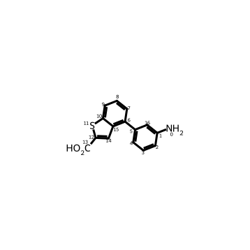 Nc1cccc(-c2cccc3sc(C(=O)O)cc23)c1